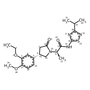 CCOc1cc([C@@H]2CC(=O)N([C@H](C)C(=O)Nc3nc(C(C)C)ns3)C2)ccc1OC